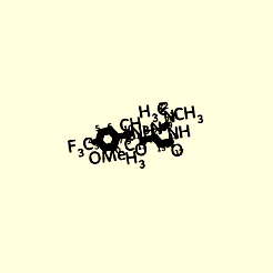 COc1cc(C(F)(F)F)ccc1C(C)(C)NC(=O)c1cc(=O)[nH]c(N(C)C)n1